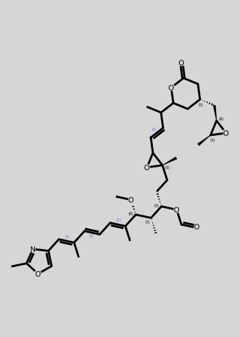 CO[C@@H](/C(C)=C/C=C/C(C)=C/c1coc(C)n1)[C@@H](C)[C@H](CC[C@]1(C)OC1/C=C/C(C)C1C[C@@H](C[C@H]2O[C@H]2C)CC(=O)O1)OC=O